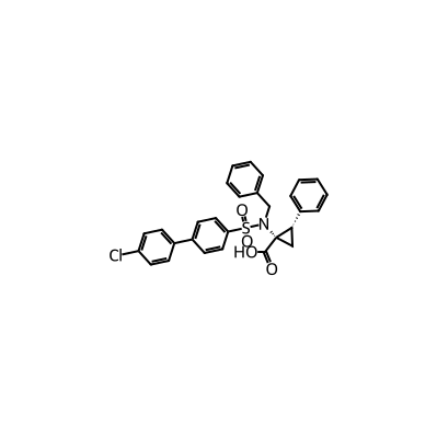 O=C(O)[C@]1(N(Cc2ccccc2)S(=O)(=O)c2ccc(-c3ccc(Cl)cc3)cc2)C[C@H]1c1ccccc1